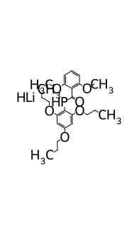 CCCOc1cc(OCCC)c(PC(=O)c2c(OC)cccc2OC)c(OCCC)c1.[LiH]